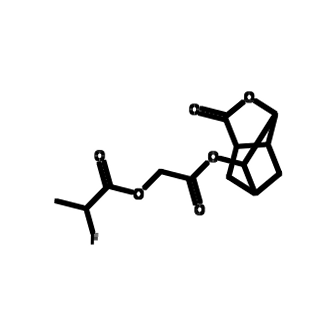 CC(F)C(=O)OCC(=O)OC1C2CC3C(=O)OC1C3C2